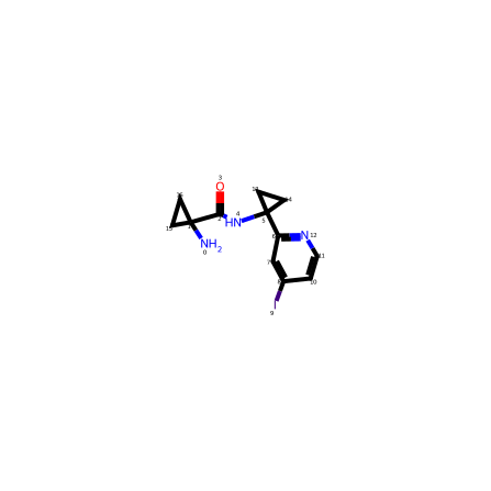 NC1(C(=O)NC2(c3cc(I)ccn3)CC2)CC1